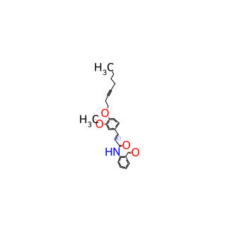 CCCCC#CCCOc1ccc(/C=C/C(=O)Nc2ccccc2C=O)cc1OC